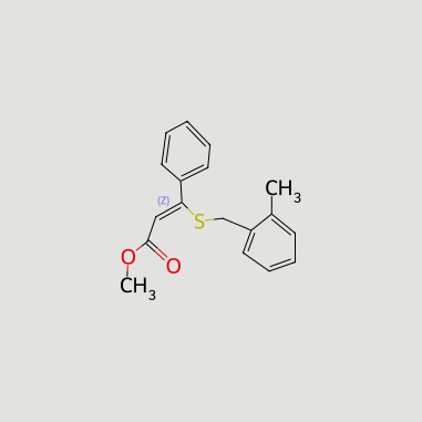 COC(=O)/C=C(\SCc1ccccc1C)c1ccccc1